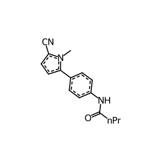 CCCC(=O)Nc1ccc(-c2ccc(C#N)n2C)cc1